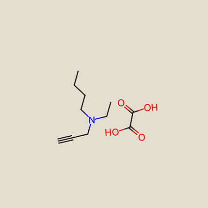 C#CCN(CC)CCCC.O=C(O)C(=O)O